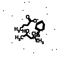 CC(O)C[N+](C)(C)Cc1ccccc1.CCCC(=O)[O-]